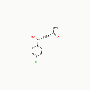 COC(=O)C#CC(O)c1ccc(Cl)cc1